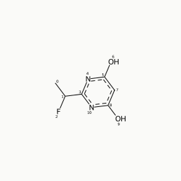 CC(F)c1nc(O)cc(O)n1